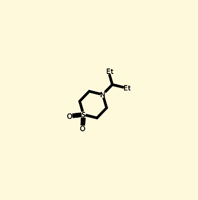 CCC(CC)N1CCS(=O)(=O)CC1